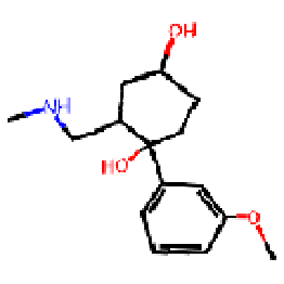 CNCC1CC(O)CCC1(O)c1cccc(OC)c1